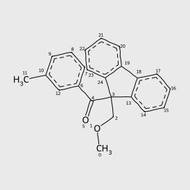 COCC1(C(=O)c2cccc(C)c2)c2ccccc2-c2ccccc21